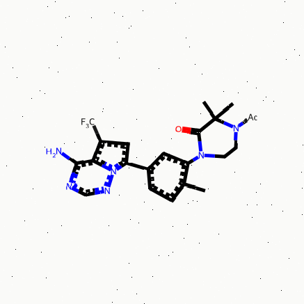 CC(=O)N1CCN(c2cc(-c3cc(C(F)(F)F)c4c(N)ncnn34)ccc2C)C(=O)C1(C)C